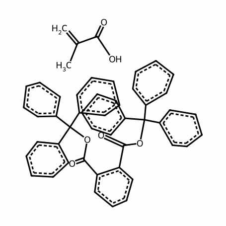 C=C(C)C(=O)O.O=C(OC(c1ccccc1)(c1ccccc1)c1ccccc1)c1ccccc1C(=O)OC(c1ccccc1)(c1ccccc1)c1ccccc1